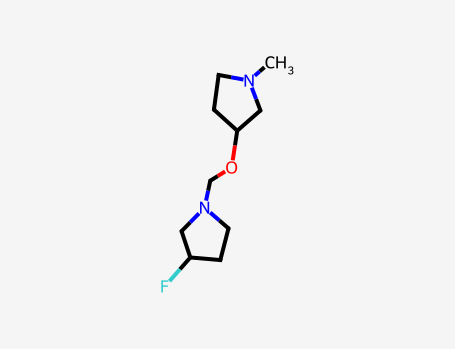 CN1CCC(OCN2CCC(F)C2)C1